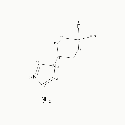 Nc1cn(C2CCC(F)(F)CC2)cn1